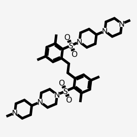 Cc1cc(C)c(S(=O)(=O)N2CCC(N3CCN(C)CC3)CC2)c(CCc2cc(C)cc(C)c2S(=O)(=O)N2CCN(C3CCN(C)CC3)CC2)c1